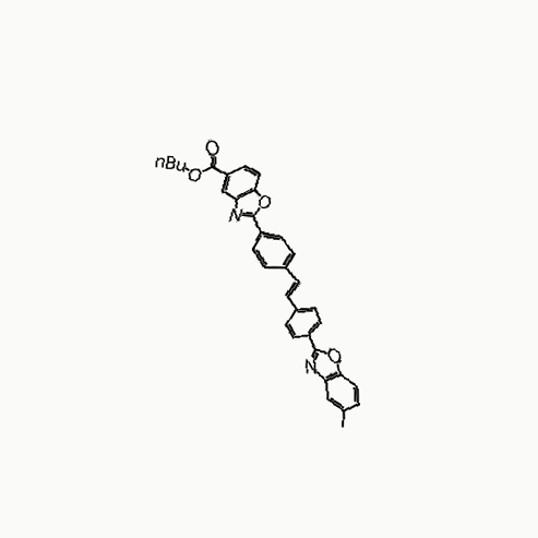 CCCCOC(=O)c1ccc2oc(-c3ccc(C=Cc4ccc(-c5nc6cc(C)ccc6o5)cc4)cc3)nc2c1